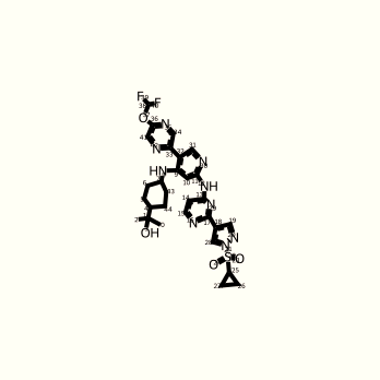 CC(C)(O)C1CCC(Nc2cc(Nc3ccnc(-c4cnn(S(=O)(=O)C5CC5)c4)n3)ncc2-c2cnc(OC(F)F)cn2)CC1